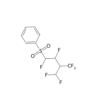 O=S(=O)(c1ccccc1)C(F)C(F)C(C(F)F)C(F)(F)F